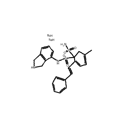 CC1=CC=C(C=Cc2ccccc2)C(S(N)(=O)=O)(S(=O)(=O)Nc2cccc3c2CNC3)C1.[NaH].[NaH]